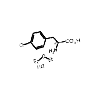 CCOCC.Cl.N[C@@H](Cc1ccc(Cl)cc1)C(=O)O